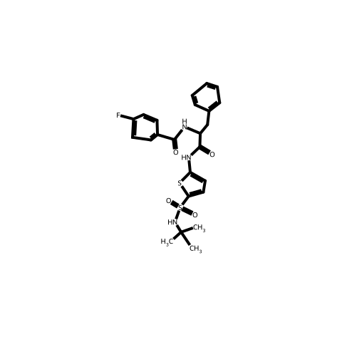 CC(C)(C)NS(=O)(=O)c1ccc(NC(=O)C(Cc2ccccc2)NC(=O)c2ccc(F)cc2)s1